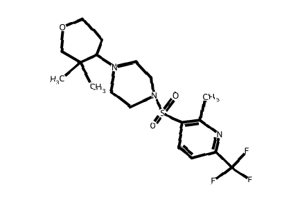 Cc1nc(C(F)(F)F)ccc1S(=O)(=O)N1CCN(C2CCOCC2(C)C)CC1